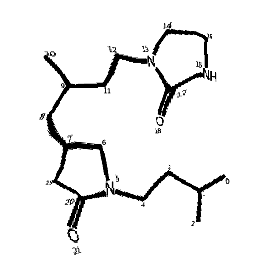 CC(C)CCN1CC(CC(C)CCN2CCNC2=O)CC1=O